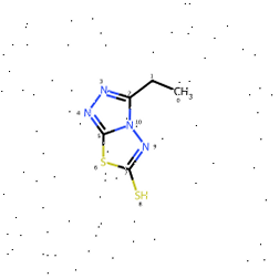 CCc1nnc2sc(S)nn12